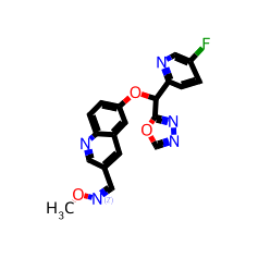 CO/N=C\c1cnc2ccc(OC(c3ccc(F)cn3)c3nnco3)cc2c1